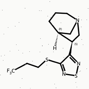 FC(F)(F)CCSc1nsnc1[C@@H]1CN2CCC[C@H]1C2